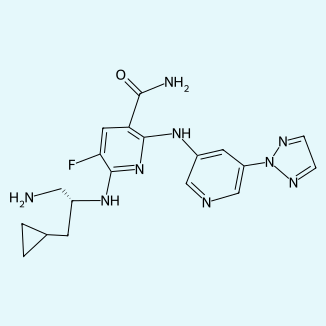 NC[C@@H](CC1CC1)Nc1nc(Nc2cncc(-n3nccn3)c2)c(C(N)=O)cc1F